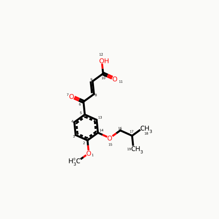 COc1ccc(C(=O)C=CC(=O)O)cc1OCC(C)C